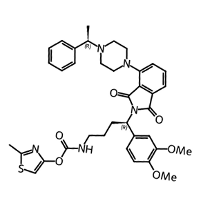 COc1ccc([C@@H](CCCNC(=O)Oc2csc(C)n2)N2C(=O)c3cccc(N4CCN([C@H](C)c5ccccc5)CC4)c3C2=O)cc1OC